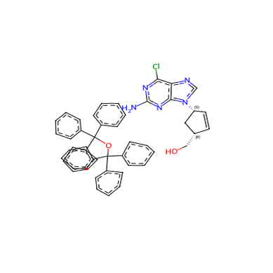 Nc1nc(Cl)c2ncn([C@@H]3C=C[C@H](CO)C3)c2n1.c1ccc(C(OC(c2ccccc2)(c2ccccc2)c2ccccc2)(c2ccccc2)c2ccccc2)cc1